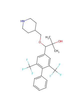 CC(C)(O)C(OCC1CCNCC1)c1cc(C(F)(F)F)c(-c2ccccc2)c(C(F)(F)F)c1